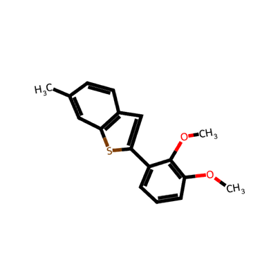 COc1cccc(-c2cc3ccc(C)cc3s2)c1OC